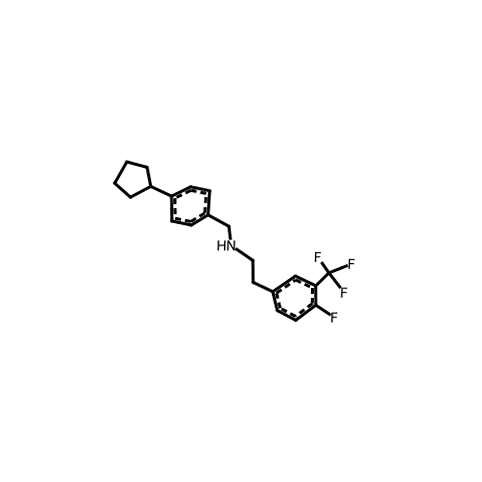 Fc1ccc(CCNCc2ccc(C3CCCC3)cc2)cc1C(F)(F)F